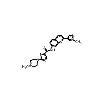 CN1CCN(c2nc(C(=O)Nc3cc4nc(-c5cnn(C)c5)ccc4cn3)cs2)CC1